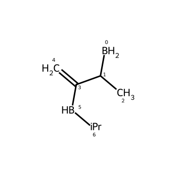 BC(C)C(=C)BC(C)C